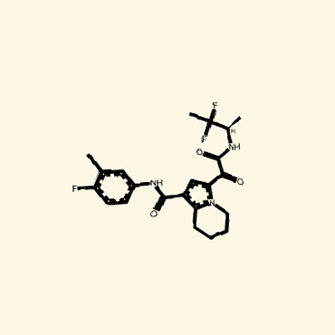 Cc1cc(NC(=O)c2cc(C(=O)C(=O)N[C@H](C)C(C)(F)F)n3c2CCCC3)ccc1F